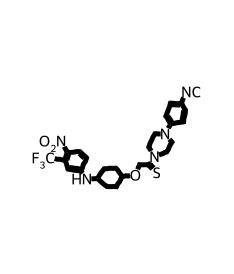 [C-]#[N+]c1ccc(N2CCN(C(=S)COC3CCC(Nc4ccc([N+](=O)[O-])c(C(F)(F)F)c4)CC3)CC2)cc1